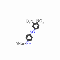 CCCCCCCCCNc1ccc(/N=N/c2ccc([N+](=O)[O-])c([N+](=O)[O-])c2)cc1